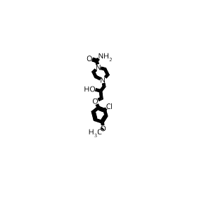 COc1ccc(OCC(O)CN2CCN(C(N)=O)CC2)c(Cl)c1